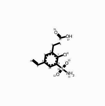 C=Cc1cc(CC)c(Cl)c(S(N)(=O)=O)c1.O=CO